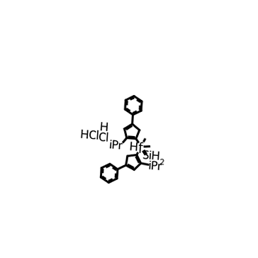 CC(C)C1=[C]([Hf]([CH3])([CH3])(=[SiH2])[C]2=C(C(C)C)C=C(c3ccccc3)C2)CC(c2ccccc2)=C1.Cl.Cl